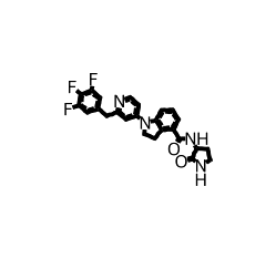 O=C(NC1CCNC1=O)c1cccc2c1CCN2c1ccnc(Cc2cc(F)c(F)c(F)c2)c1